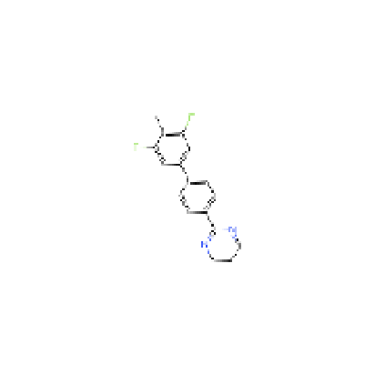 Cc1c(F)cc(-c2ccc(-c3ncccn3)cc2)cc1F